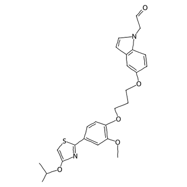 COc1cc(-c2nc(OC(C)C)cs2)ccc1OCCCOc1ccc2c(ccn2CC=O)c1